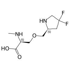 CN[C@@H](COC[C@@H]1CC(F)(F)CN1)C(=O)O